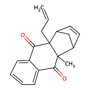 C=CCC12C(=O)c3ccccc3C(=O)C1(C)C1C=CC2C1